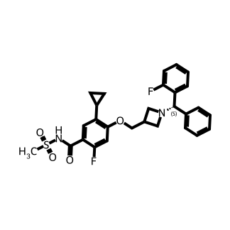 CS(=O)(=O)NC(=O)c1cc(C2CC2)c(OCC2CN([C@@H](c3ccccc3)c3ccccc3F)C2)cc1F